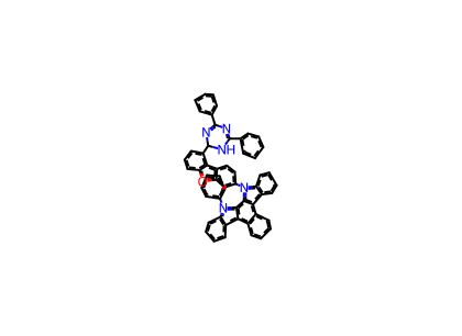 c1ccc(C2=NC(c3cccc4oc5cc(-n6c7ccccc7c7c8ccccc8c8c9ccccc9n(-c9ccccc9)c8c76)ccc5c34)NC(c3ccccc3)=N2)cc1